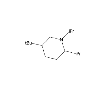 CC(C)C1CCC(C(C)(C)C)CN1C(C)C